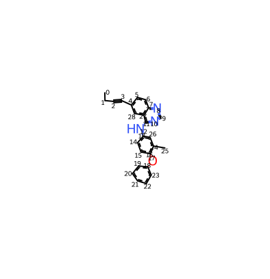 CCC#Cc1ccc2ncnc(Nc3ccc(Oc4ccccc4)c(C)c3)c2c1